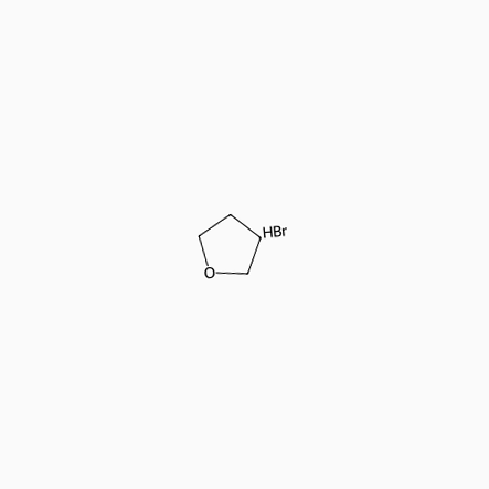 Br.C1CCOC1